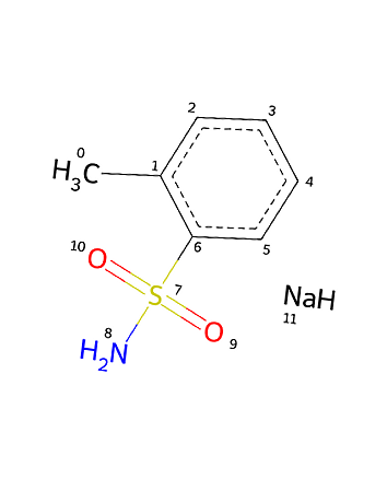 Cc1ccccc1S(N)(=O)=O.[NaH]